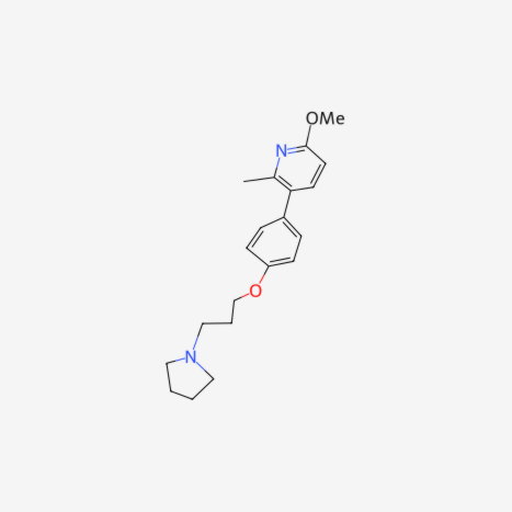 COc1ccc(-c2ccc(OCCCN3CCCC3)cc2)c(C)n1